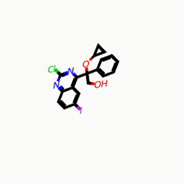 OCC(OC1CC1)(c1ccccc1)c1nc(Cl)nc2ccc(I)cc12